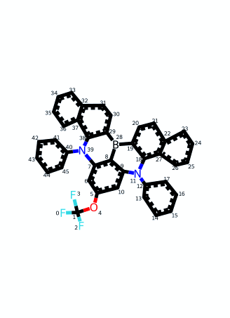 FC(F)(F)Oc1cc2c3c(c1)N(c1ccccc1)c1c(ccc4ccccc14)B3c1ccc3ccccc3c1N2c1ccccc1